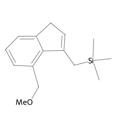 COCc1cccc2c1C(C[Si](C)(C)C)=CC2